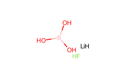 F.OB(O)O.[LiH]